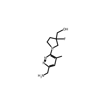 Cc1cc(CN)nnc1N1CCC(F)(CO)C1